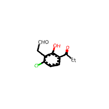 CCC(=O)c1ccc(Cl)c(CC=O)c1O